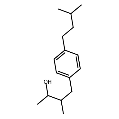 CC(C)CCc1ccc(CC(C)C(C)O)cc1